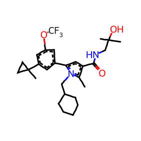 Cc1c(C(=O)NCC(C)(C)O)cc(-c2cc(OC(F)(F)F)cc(C3(C)CC3)c2)n1CC1CCCCC1